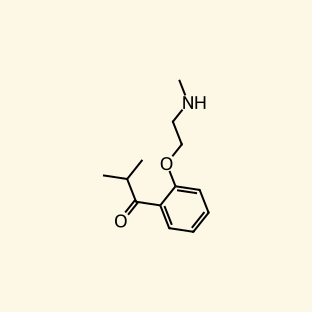 CNCCOc1ccccc1C(=O)C(C)C